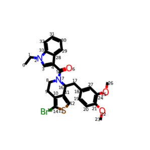 CCn1cc(C(=O)N2CCc3c(csc3Br)C2Cc2ccc(OC)c(OC)c2)c2ccccc21